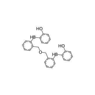 Oc1ccccc1Bc1ccccc1COCc1ccccc1Bc1ccccc1O